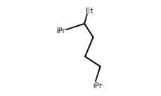 CCC(CCC[C](C)C)C(C)C